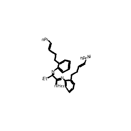 CCCC=CCCc1ccccc1N=C(CC)C(CCCCCC)=Nc1ccccc1CCC=CCCC.[Ni]